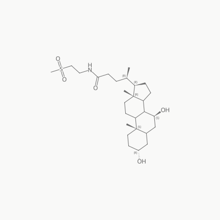 C[C@H](CCC(=O)NCCS(C)(=O)=O)[C@H]1CCC2C3C(CC[C@@]21C)[C@@]1(C)CC[C@@H](O)CC1C[C@@H]3O